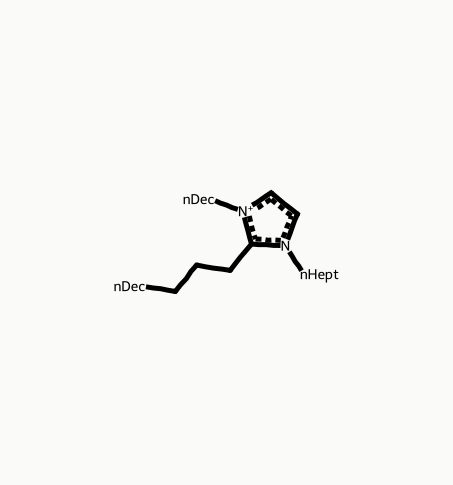 CCCCCCCCCCCCCc1n(CCCCCCC)cc[n+]1CCCCCCCCCC